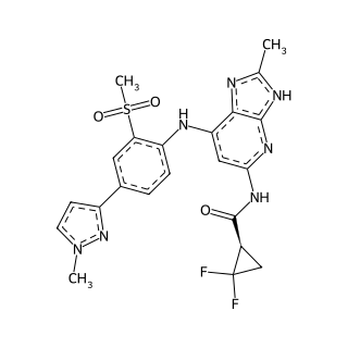 Cc1nc2c(Nc3ccc(-c4ccn(C)n4)cc3S(C)(=O)=O)cc(NC(=O)[C@H]3CC3(F)F)nc2[nH]1